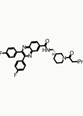 CC(C)CC(=O)N1CCC[C@H](CNC(=O)c2ccc3nc(-c4ccc(F)cc4)c(-c4ccc(F)cc4)nc3c2)C1